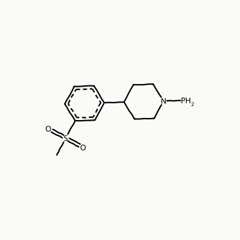 CS(=O)(=O)c1cccc(C2CCN(P)CC2)c1